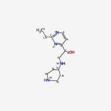 CSc1nccc(C(O)CNC2CCNCC2)n1